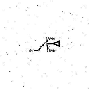 CO[Si](CCC(C)C)(OC)C1CC1